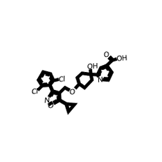 O=C(O)c1ccnc(C2(O)CCC(OCc3c(-c4c(Cl)cccc4Cl)noc3C3CC3)CC2)c1